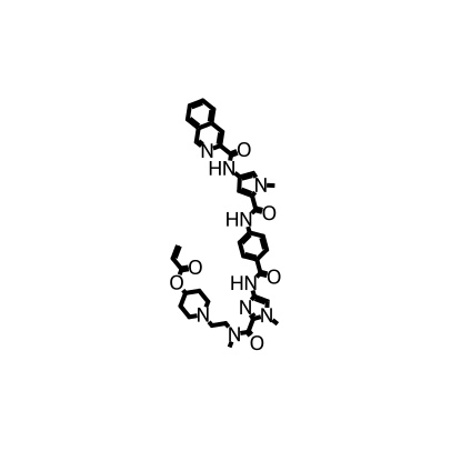 C=CC(=O)OC1CCN(CCN(C)C(=O)c2nc(NC(=O)c3ccc(NC(=O)c4cc(NC(=O)c5cc6ccccc6cn5)cn4C)cc3)cn2C)CC1